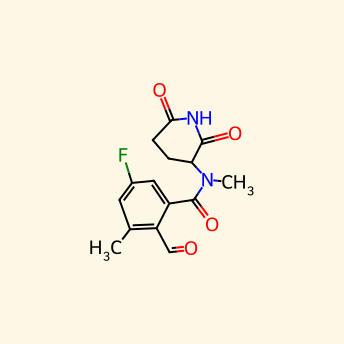 Cc1cc(F)cc(C(=O)N(C)C2CCC(=O)NC2=O)c1C=O